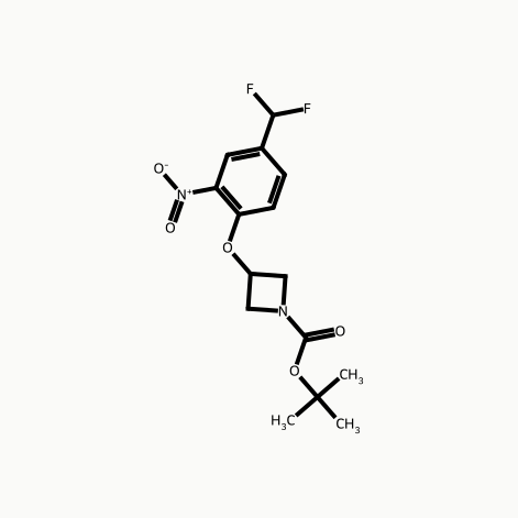 CC(C)(C)OC(=O)N1CC(Oc2ccc(C(F)F)cc2[N+](=O)[O-])C1